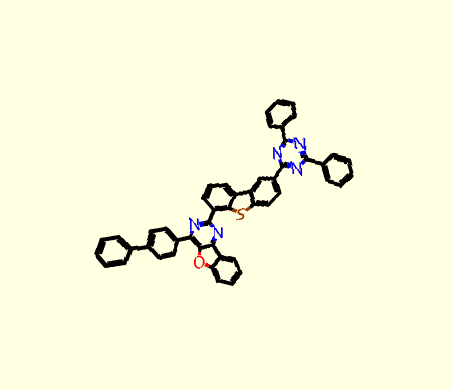 c1ccc(-c2ccc(-c3nc(-c4cccc5c4sc4ccc(-c6nc(-c7ccccc7)nc(-c7ccccc7)n6)cc45)nc4c3oc3ccccc34)cc2)cc1